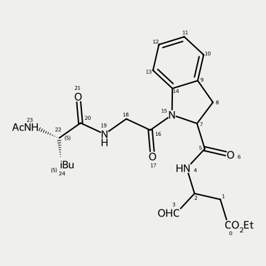 CCOC(=O)CC(C=O)NC(=O)C1Cc2ccccc2N1C(=O)CNC(=O)[C@@H](NC(C)=O)[C@@H](C)CC